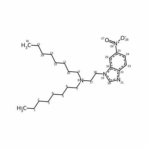 CCCCCCCCN(CCCCCCCC)CCn1cnc2ccc([N+](=O)[O-])cc21